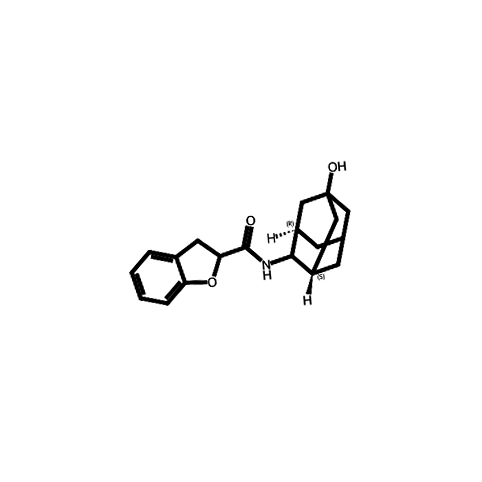 O=C(NC1[C@@H]2CC3C[C@H]1CC(O)(C3)C2)C1Cc2ccccc2O1